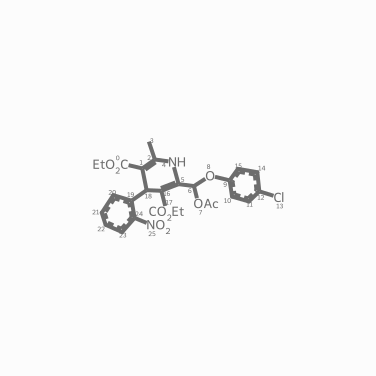 CCOC(=O)C1=C(C)NC(C(OC(C)=O)Oc2ccc(Cl)cc2)=C(C(=O)OCC)C1c1ccccc1[N+](=O)[O-]